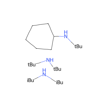 CC(C)(C)NC(C)(C)C.CC(C)(C)NC1CCCCC1.CCC(C)NC(C)CC